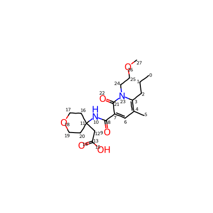 CCCc1c(C)cc(C(=O)NC2(CC(=O)O)CCOCC2)c(=O)n1CCOC